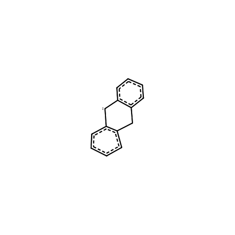 [C]1c2ccccc2Cc2ccccc21